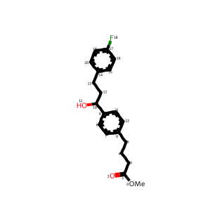 COC(=O)CCCc1ccc(C(O)CCc2ccc(F)cc2)cc1